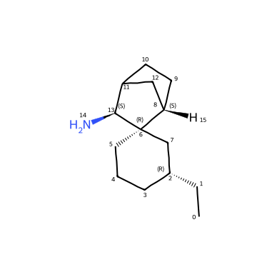 CC[C@@H]1CCC[C@@]2(C1)[C@H]1CCC(C1)[C@@H]2N